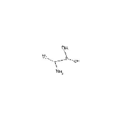 CCCC(N)P(O)O